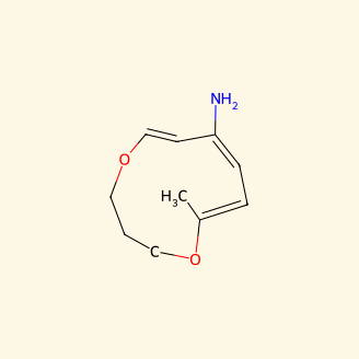 C\C1=C/C=C(N)\C=C\OCCCO1